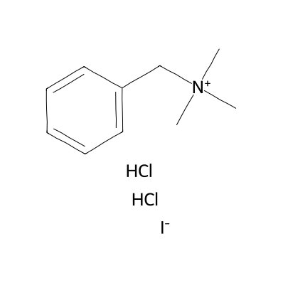 C[N+](C)(C)Cc1ccccc1.Cl.Cl.[I-]